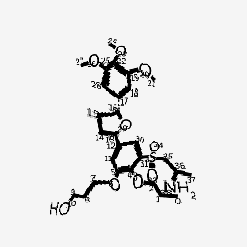 CCCOc1c(OCCCO)cc([C@H]2CC[C@H](c3cc(OC)c(OC)c(OC)c3)O2)cc1S(=O)(=O)CC(C)N